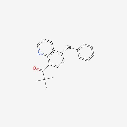 CC(C)(C)C(=O)c1ccc([Se]c2ccccc2)c2cccnc12